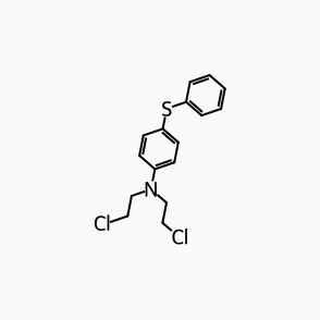 ClCCN(CCCl)c1ccc(Sc2ccccc2)cc1